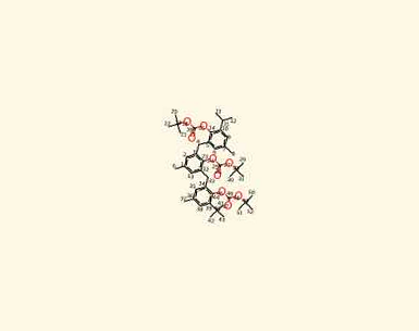 Cc1cc(Cc2cc(C)cc(C(C)C)c2OC(=O)OC(C)(C)C)c(OC(=O)OC(C)(C)C)c(Cc2cc(C)cc(C(C)(C)C)c2OC(=O)OC(C)(C)C)c1